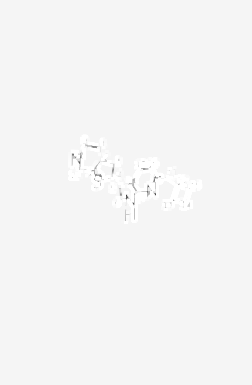 c1cc2cc(-c3c[nH]c4nc(CC5CCC5)ccc34)sc2cn1